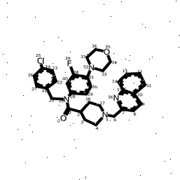 O=C(C1CCN(Cc2ccc3ccccc3n2)CC1)N(Cc1ccc(Cl)cc1)c1ccc(N2CCOCC2)c(F)c1